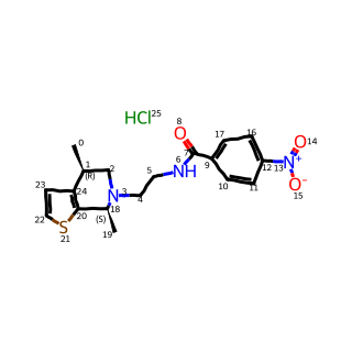 C[C@H]1CN(CCNC(=O)c2ccc([N+](=O)[O-])cc2)[C@@H](C)c2sccc21.Cl